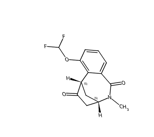 CN1C(=O)c2cccc(OC(F)F)c2[C@@H]2C[C@H]1CC2=O